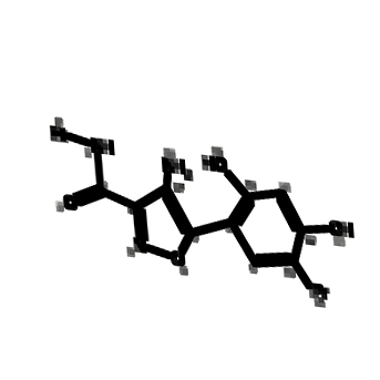 CCNC(=O)c1noc(-c2cc(C(C)C)c(O)cc2O)c1N